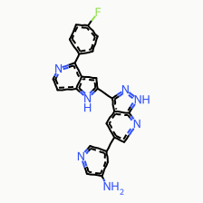 Nc1cncc(-c2cnc3[nH]nc(-c4cc5c(-c6ccc(F)cc6)nccc5[nH]4)c3c2)c1